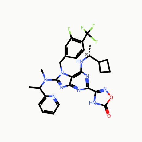 CC(c1ccccn1)N(C)c1nc2nc(-c3noc(=O)[nH]3)nc(N[C@H](C)C3CCC3)c2n1Cc1ccc(C(F)(F)F)c(F)c1